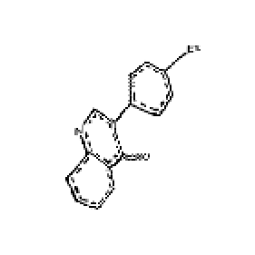 CCc1ccc(-n2cnc3ccccc3c2=O)cc1